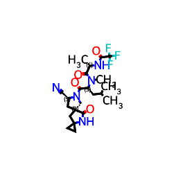 CC(C)C[C@@H](C(=O)N1C[C@@]2(C[C@H]1C#N)CC1(CC1)NC2=O)N(C)C(=O)[C@H](C)NC(=O)C(F)(F)F